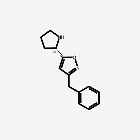 c1ccc(Cc2cc([C@@H]3CCCN3)on2)cc1